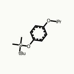 CC(C)Oc1ccc(O[Si](C)(C)C(C)(C)C)cc1